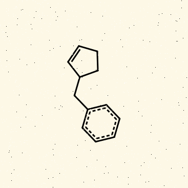 C1=C[C](Cc2ccccc2)CC1